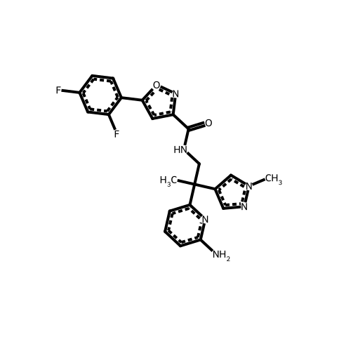 Cn1cc(C(C)(CNC(=O)c2cc(-c3ccc(F)cc3F)on2)c2cccc(N)n2)cn1